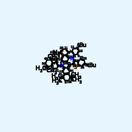 Cc1cc2c3c(c1)N(c1ccc(C(C)(C)C)cc1-c1ccc(C(C)(C)C)cc1)c1c(sc4cc(C(C)(C)C)ccc14)B3c1cc3c(cc1N2c1ccc2c(c1)C(C)(C)CCC2(C)C)C(C)(C)CCC3(C)C